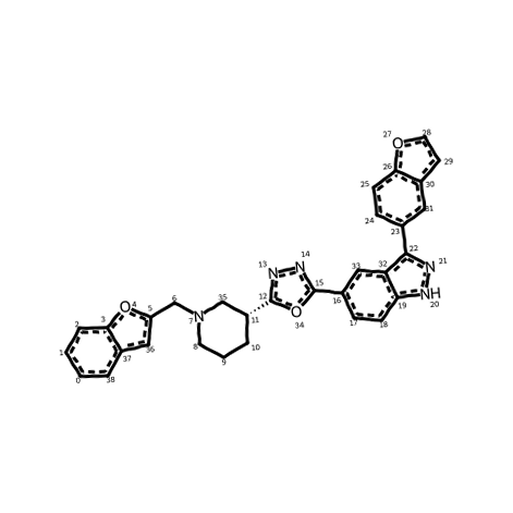 c1ccc2oc(CN3CCC[C@@H](c4nnc(-c5ccc6[nH]nc(-c7ccc8occc8c7)c6c5)o4)C3)cc2c1